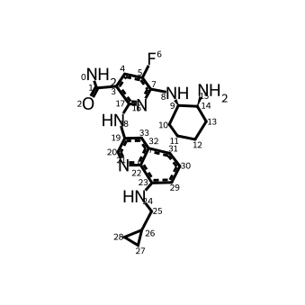 NC(=O)c1cc(F)c(N[C@@H]2CCCC[C@@H]2N)nc1Nc1cnc2c(NCC3CC3)cccc2c1